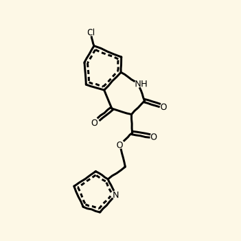 O=C1Nc2cc(Cl)ccc2C(=O)C1C(=O)OCc1ccccn1